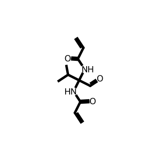 C=CC(=O)NC(C=O)(NC(=O)C=C)C(C)C